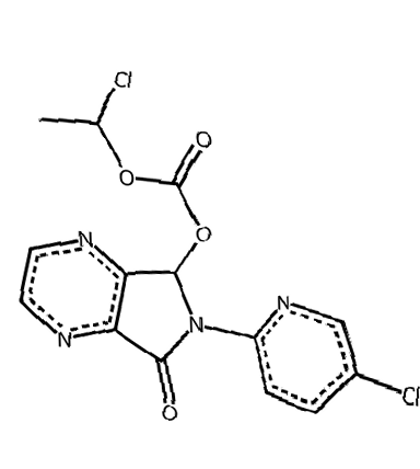 CC(Cl)OC(=O)OC1c2nccnc2C(=O)N1c1ccc(Cl)cn1